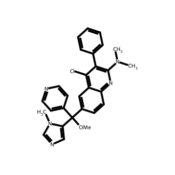 COC(c1ccncc1)(c1ccc2nc(N(C)C)c(-c3ccccc3)c(Cl)c2c1)c1cncn1C